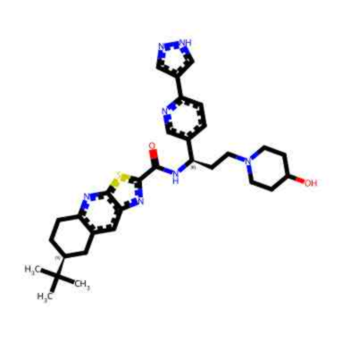 CC(C)(C)[C@H]1CCc2nc3sc(C(=O)N[C@H](CCN4CCC(O)CC4)c4ccc(-c5cn[nH]c5)nc4)nc3cc2C1